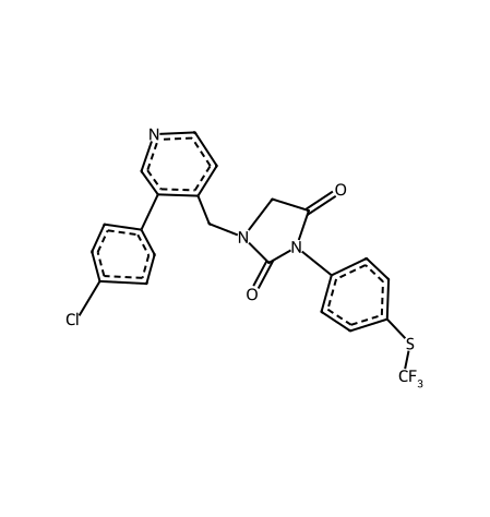 O=C1CN(Cc2ccncc2-c2ccc(Cl)cc2)C(=O)N1c1ccc(SC(F)(F)F)cc1